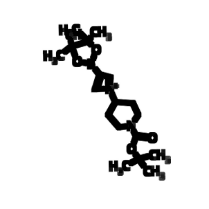 CC(C)(C)OC(=O)N1CCC([N+]2=CC(B3OC(C)(C)C(C)(C)O3)=C2)CC1